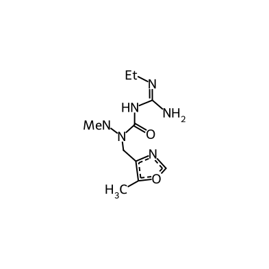 CC/N=C(/N)NC(=O)N(Cc1ncoc1C)NC